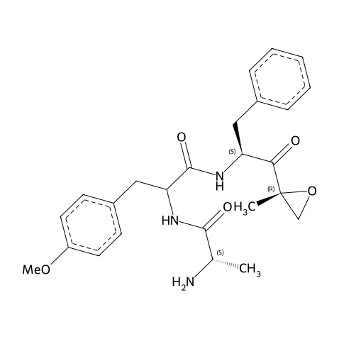 COc1ccc(CC(NC(=O)[C@H](C)N)C(=O)N[C@@H](Cc2ccccc2)C(=O)[C@@]2(C)CO2)cc1